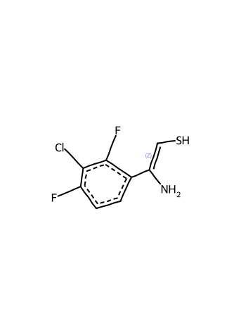 N/C(=C\S)c1ccc(F)c(Cl)c1F